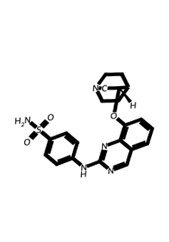 NS(=O)(=O)c1ccc(Nc2ncc3cccc(O[C@@H]4CN5CCC4CC5)c3n2)cc1